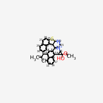 COC1(O)C2c3c(cc(CC(C)C)c4ccccc34)C3=[N+](C=NC4Sc5ccc6ccccc6c5C34)C21